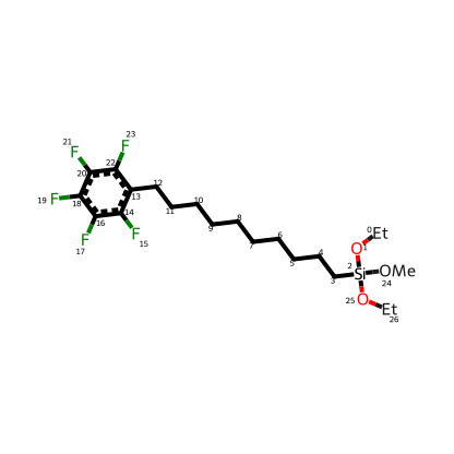 CCO[Si](CCCCCCCCCCc1c(F)c(F)c(F)c(F)c1F)(OC)OCC